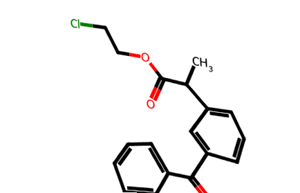 CC(C(=O)OCCCl)c1cccc(C(=O)c2ccccc2)c1